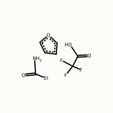 CCC(N)=O.O=C(O)C(F)(F)F.c1ccoc1